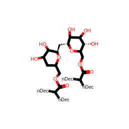 CCCCCCCCCCC(CCCCCCCCCC)C(=O)OCC1CC(O)C(O)[C@@H](C[C@H]2OC(COC(=O)C(CCCCCCCCCC)CCCCCCCCCC)[C@@H](O)C(O)C2O)O1